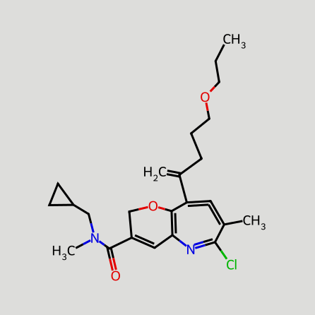 C=C(CCCOCCC)C1=C=C(C)C(Cl)=NC2=C1OCC(C(=O)N(C)CC1CC1)=C2